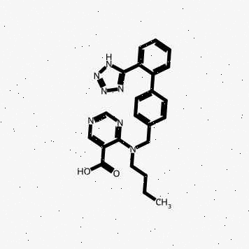 CCCCN(Cc1ccc(-c2ccccc2-c2nnn[nH]2)cc1)c1ncncc1C(=O)O